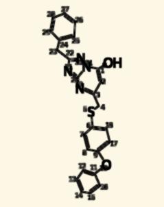 Oc1cc(CSc2ccc(Oc3ccccc3)cc2)nc2nc(Cc3ccccc3)nn12